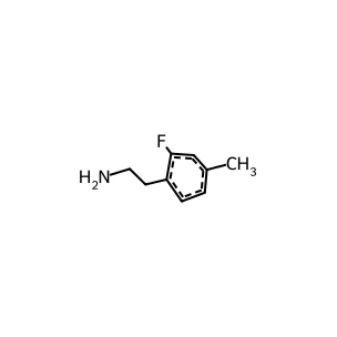 Cc1ccc(CCN)c(F)c1